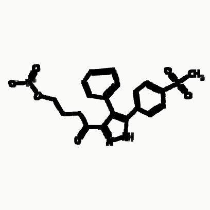 CS(=O)(=O)c1ccc(-c2[nH]nc(C(=O)CCCO[N+](=O)[O-])c2-c2ccccc2)cc1